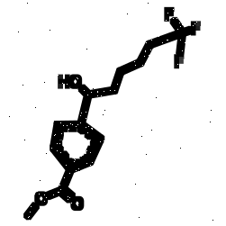 COC(=O)c1ccc(C(O)CCCCC(F)(F)F)cc1